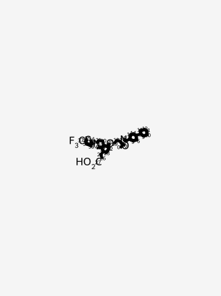 Cc1oc(-c2ccc(-c3ccccc3)cc2)nc1CCOc1ccc(CCC(=O)O)c2c1CCN(c1ccc(C(F)(F)F)cc1)C2